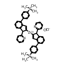 C[Si](C)(C)c1ccc(-c2cccc3c2C=[C]([Zr+2][C]2=Cc4c(-c5ccc([Si](C)(C)C)cc5)cccc4C2c2ccccn2)C3c2ccccn2)cc1.[Cl-].[Cl-]